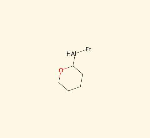 C[CH2][AlH][CH]1CCCCO1